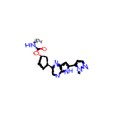 CC(C)NC(=O)O[C@@H]1CC[C@H](c2cnc3[nH]c(-c4ccnn4C)cc3n2)C1